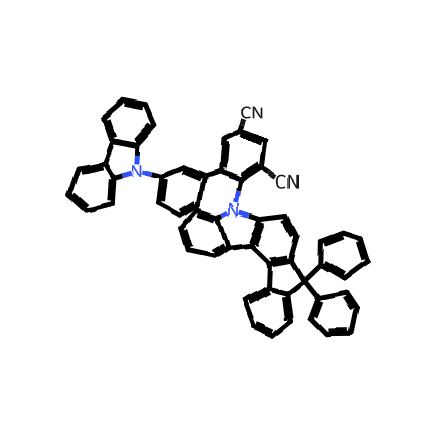 N#Cc1cc(C#N)c(-n2c3ccccc3c3c4c(ccc32)C(c2ccccc2)(c2ccccc2)c2ccccc2-4)c(-c2cccc(-n3c4ccccc4c4ccccc43)c2)c1